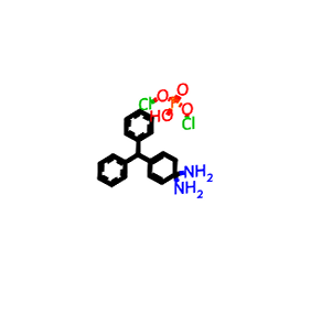 NC1(N)C=CC(C(c2ccccc2)c2ccccc2)=CC1.O=P(O)(OCl)OCl